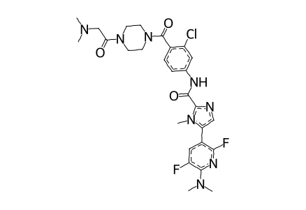 CN(C)CC(=O)N1CCN(C(=O)c2ccc(NC(=O)c3ncc(-c4cc(F)c(N(C)C)nc4F)n3C)cc2Cl)CC1